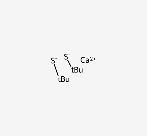 CC(C)(C)[S-].CC(C)(C)[S-].[Ca+2]